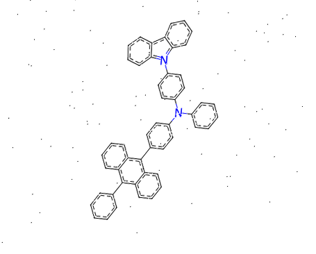 c1ccc(-c2c3ccccc3c(-c3ccc(N(c4ccccc4)c4ccc(-n5c6ccccc6c6ccccc65)cc4)cc3)c3ccccc23)cc1